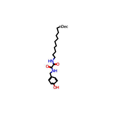 CCCCCCCCCCCCCCCCCCCCNC(=O)C(=O)NCc1ccc(O)cc1